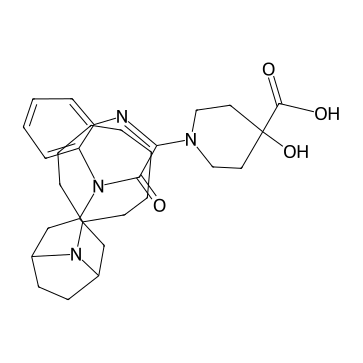 O=C(O)C1(O)CCN(c2nc3ccccc3n(C3CC4CCC(C3)N4C3CCCCCCC3)c2=O)CC1